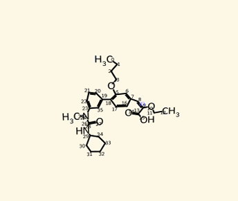 CCCCOc1cc(/C=C(/OCC)C(=O)O)ccc1-c1cccc(N(C)C(=O)NC2CCCCC2)c1